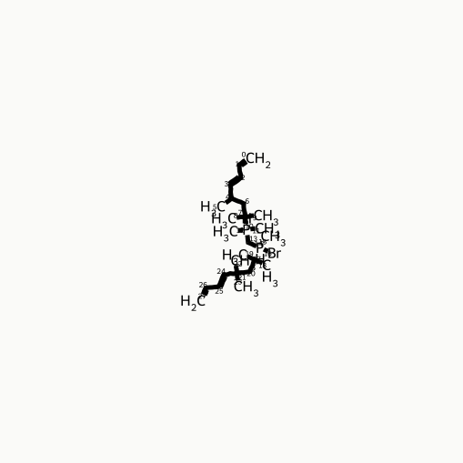 C=C/C=C/C(C)CC(C)(C)[PH](C)(C)C[PH](C)(Br)C(C)(C)CC(C)(C)/C=C/C=C